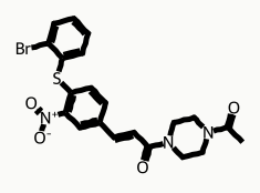 CC(=O)N1CCN(C(=O)/C=C/c2ccc(Sc3ccccc3Br)c([N+](=O)[O-])c2)CC1